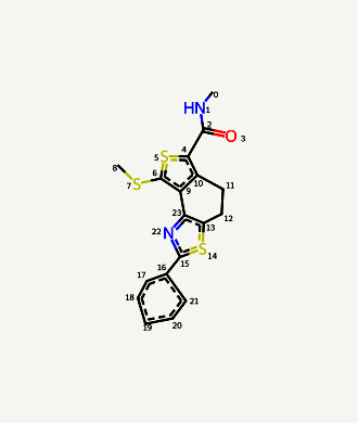 CNC(=O)c1sc(SC)c2c1CCc1sc(-c3ccccc3)nc1-2